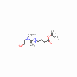 C=C(C)OC(=O)CCCNC(=C)N(CCO)CCCCC